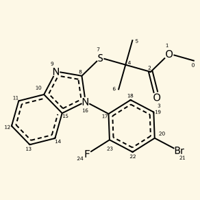 COC(=O)C(C)(C)Sc1nc2ccccc2n1-c1ccc(Br)cc1F